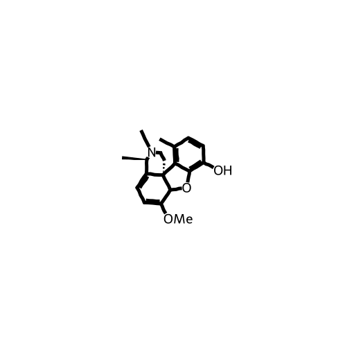 COC1=CC=C2[C@@H](C)N(C)CC[C@@]23c2c(C)ccc(O)c2OC13